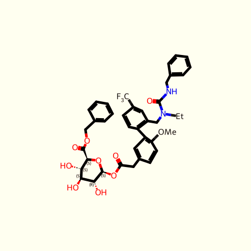 CCN(Cc1cc(C(F)(F)F)ccc1-c1cc(CC(=O)O[C@@H]2O[C@H](C(=O)OCc3ccccc3)[C@@H](O)[C@H](O)[C@H]2O)ccc1OC)C(=O)NCc1ccccc1